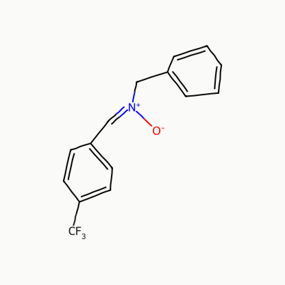 [O-][N+](=Cc1ccc(C(F)(F)F)cc1)Cc1ccccc1